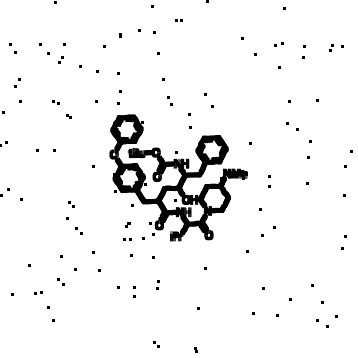 CNC1CCN(C(=O)C(NC(=O)C(Cc2ccc(Oc3ccccc3)cc2)CC(O)C(Cc2ccccc2)NC(=O)OC(C)(C)C)C(C)C)CC1